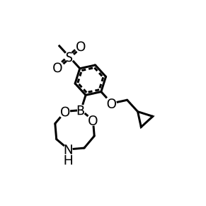 CS(=O)(=O)c1ccc(OCC2CC2)c(B2OCCNCCO2)c1